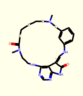 CN1CCCCCC(=O)N(C)CCNc2ncnc3c2/C(=C/Nc2cccc(c2)C1)C(=O)N3